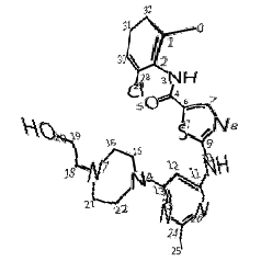 CC1=C(NC(=O)c2cnc(Nc3cc(N4CCN(CCO)CC4)nc(C)n3)s2)C(Cl)=CCC1